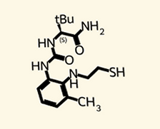 Cc1cccc(NC(=O)N[C@H](C(N)=O)C(C)(C)C)c1NCCS